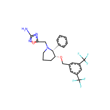 Nc1noc(CN2CCC[C@@H](OCc3cc(C(F)(F)F)cc(C(F)(F)F)c3)[C@H]2c2ccccc2)n1